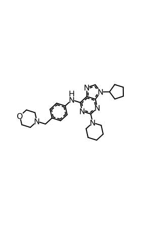 c1cc(Nc2nc(N3CCCCC3)nc3c2ncn3C2CCCC2)ccc1CN1CCOCC1